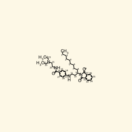 CCCCCCCCCC(CCNc1ccc(C(=O)NCCN(CC)CC)cc1)N1C(=O)c2ccccc2C1=O